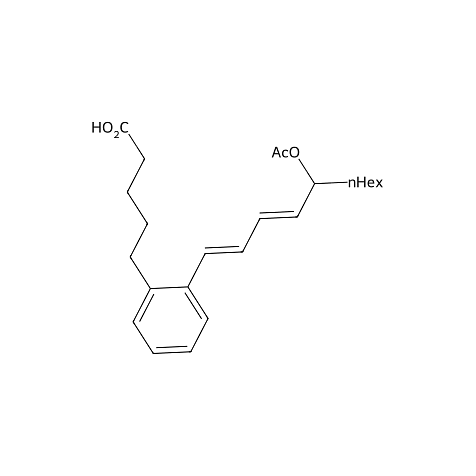 CCCCCCC(/C=C/C=C/c1ccccc1CCCCC(=O)O)OC(C)=O